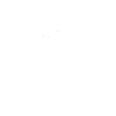 c1ccc(C[SiH]2CO[SiH2][SiH2][SiH2]2)cc1